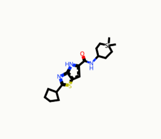 C[Si]1(C)CCC(NC(=O)c2cc3sc(C4CCCC4)nc3[nH]2)CC1